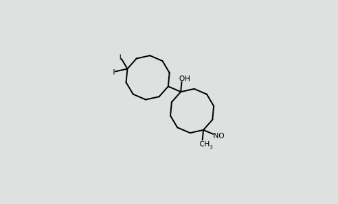 CC1(N=O)CCCCC(O)(C2CCCCC(I)(I)CCCC2)CCCC1